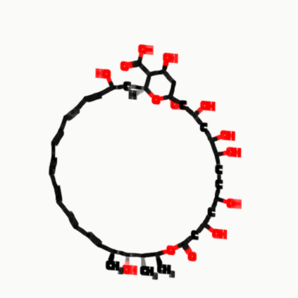 C[C@@H]1[C@H](O)[C@@H](C)/C=C/C=C/C=C/C=C/C=C/C=C/C=C/C(O)C[C@@H]2OC(O)(CC(O)CC(O)C(O)CCC(O)CC(O)CC(=O)O[C@H]1C)C[C@H](O)C2C(=O)O